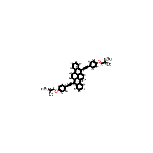 CCCCC(CC)COc1ccc(C#Cc2c3ccccc3c3ccc4c(C#Cc5ccc(OCC(CC)CCCC)cc5)c5ccccc5c5ccc2c3c45)cc1